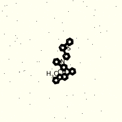 CC1(C)c2ccccc2-c2ccc(-c3ccccc3-c3ccc4c5ccccc5n(-c5cccc(-c6cccc7c6sc6ccccc67)c5)c4c3)cc21